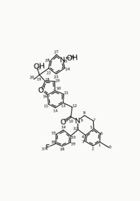 Cc1ccc2c(c1)CCN(C(=O)Cc1ccc3oc(C(C)(O)c4cc[n+](O)cc4)cc3c1)C2c1ccc(F)cc1